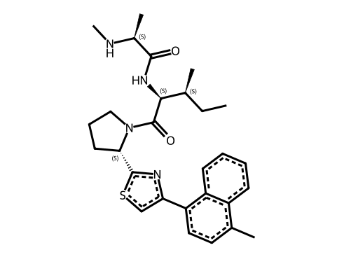 CC[C@H](C)[C@H](NC(=O)[C@H](C)NC)C(=O)N1CCC[C@H]1c1nc(-c2ccc(C)c3ccccc23)cs1